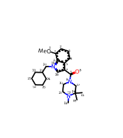 COc1cccc2c(C(=O)N3CCN(C)C(C)(C)C3)cn(CC3CCCCC3)c12